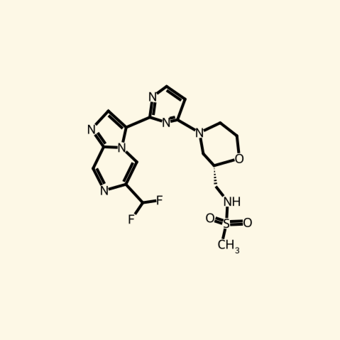 CS(=O)(=O)NC[C@@H]1CN(c2ccnc(-c3cnc4cnc(C(F)F)cn34)n2)CCO1